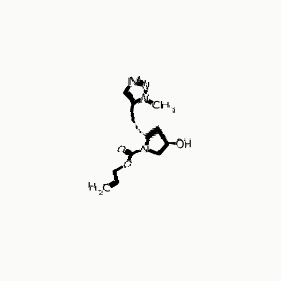 C=CCOC(=O)N1C[C@H](O)C[C@H]1Cc1cnnn1C